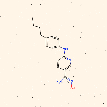 CCCCc1ccc(Nc2ccc(/C(N)=N/O)cn2)cc1